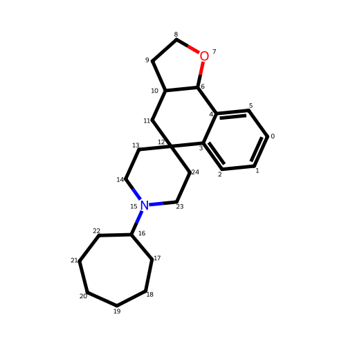 c1ccc2c(c1)C1OCCC1CC21CCN(C2CCCCCC2)CC1